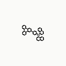 c1ccc2c(N(c3ccc(-c4ccc5c6ccccc6c6ccccc6c5c4)cc3)c3cccc4ccccc34)cccc2c1